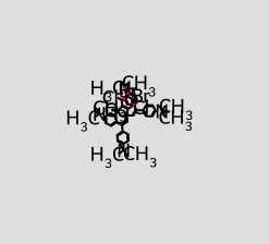 CN(C)c1ccc(C(=CC2(C=C(c3ccc(N(C)C)cc3)c3ccc(N(C)C)cc3)OC(=O)c3c(Cl)c(Br)c(Br)c(Cl)c32)c2ccc(N(C)C)cc2)cc1